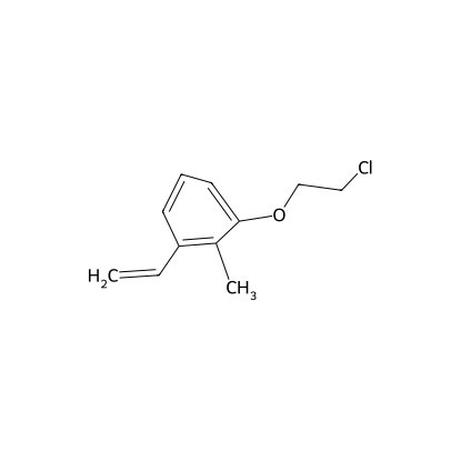 C=Cc1cccc(OCCCl)c1C